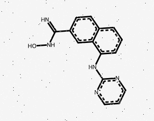 N=C(NO)c1ccc2cccc(Nc3ncccn3)c2c1